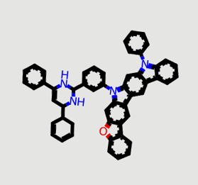 C1=CCC(C2C=C(c3ccccc3)NC(c3cccc(-n4c5cc6oc7ccccc7c6cc5c5cc6c7ccccc7n(-c7ccccc7)c6cc54)c3)N2)C=C1